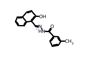 Cc1cccc(C(=O)N/N=C/c2c(O)ccc3ccccc23)c1